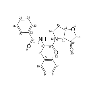 O=C(NC(Cc1ccccc1)C(=O)N1CCC2OCC(=O)C21)c1ccccc1